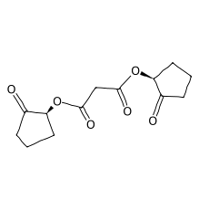 O=C(CC(=O)O[C@H]1CCCC1=O)O[C@H]1CCCC1=O